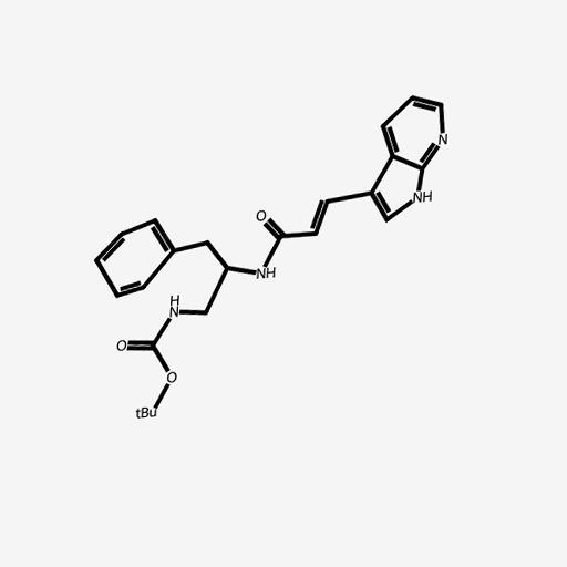 CC(C)(C)OC(=O)NCC(Cc1ccccc1)NC(=O)C=Cc1c[nH]c2ncccc12